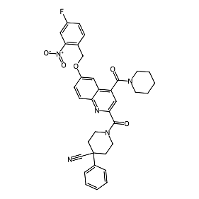 N#CC1(c2ccccc2)CCN(C(=O)c2cc(C(=O)N3CCCCC3)c3cc(OCc4ccc(F)cc4[N+](=O)[O-])ccc3n2)CC1